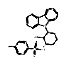 Cc1ccc(S(=O)(=O)N[C@H]2CCCC(n3c4ccccc4c4ccncc43)[C@@H]2O)cc1